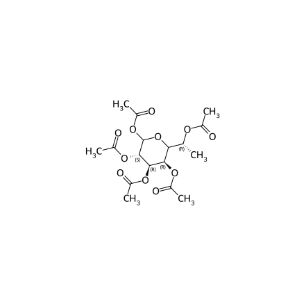 CC(=O)OC1OC([C@@H](C)OC(C)=O)[C@@H](OC(C)=O)[C@@H](OC(C)=O)[C@@H]1OC(C)=O